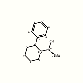 CC(C)(C)[S@+]([O-])N1CCCC[C@@H]1c1ccccc1